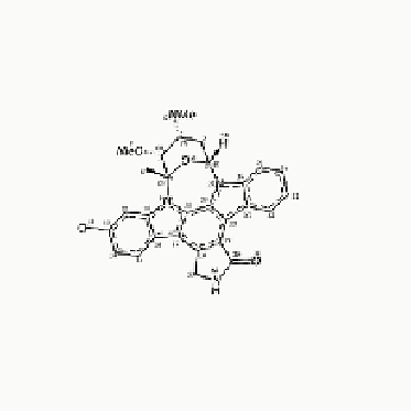 CN[C@@H]1C[C@H]2O[C@@](C)([C@@H]1OC)n1c3cc(Cl)ccc3c3c4c(c5c6ccccc6n2c5c31)C(=O)NC4